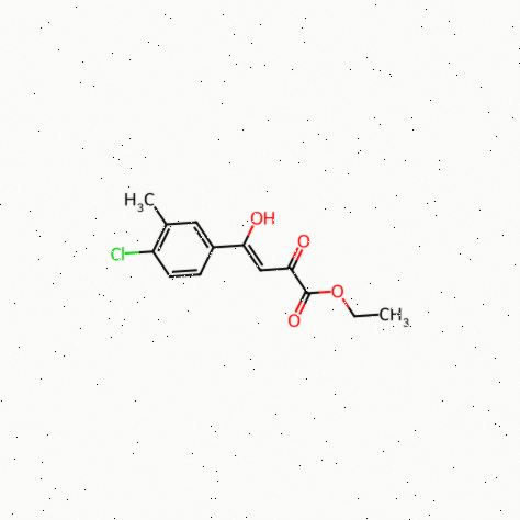 CCOC(=O)C(=O)C=C(O)c1ccc(Cl)c(C)c1